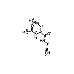 C#CCNC(=O)[C@@H](CC#C)NC(=O)O